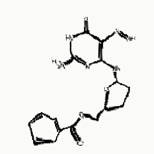 N=Nc1c(N[C@H]2CC[C@@H](COC(=O)c3ccccc3)O2)nc(N)[nH]c1=O